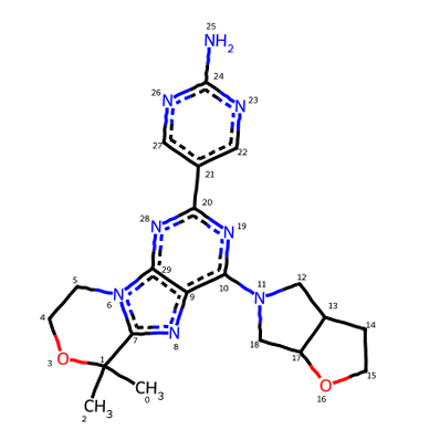 CC1(C)OCCn2c1nc1c(N3CC4CCOC4C3)nc(-c3cnc(N)nc3)nc12